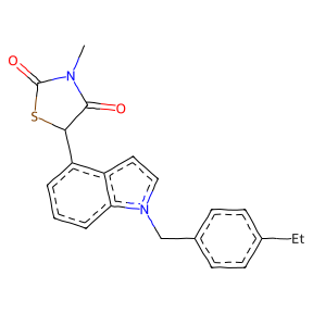 CCc1ccc(Cn2ccc3c(C4SC(=O)N(C)C4=O)cccc32)cc1